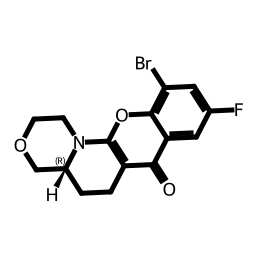 O=c1c2c(oc3c(Br)cc(F)cc13)N1CCOC[C@H]1CC2